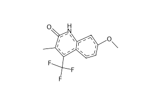 COc1ccc2c(C(F)(F)F)c(C)c(=O)[nH]c2c1